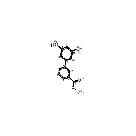 COC(=O)c1cccc(-c2cc(O)cc(O)c2)c1